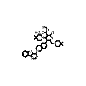 CC1(C)CCN(Cc2nc(Cl)c(C(OC(C)(C)C)C(=O)O)c(N3CCC(C)(C)CC3)c2-c2ccc3c(c2)CCN(c2ncnc4c2oc2ccccc24)C3)CC1